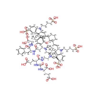 CN(CCNC(=O)[C@H](CCC(=O)O)NC(=O)N[C@@H](CCC(=O)O)C(=O)O)CCN(C)CCC(=O)N[C@@H](Cc1ccccc1)C(=O)N[C@@H](Cc1ccc(OC2=C(/C=C/C3N(CCCCS(=O)(=O)O)c4ccc(S(=O)(=O)O)cc4C3(C)C)CCC/C2=C\C=C2\N(CCCCS(=O)(=O)O)c3ccc(S(=O)(=O)O)cc3C2(C)C)cc1)C(=O)O